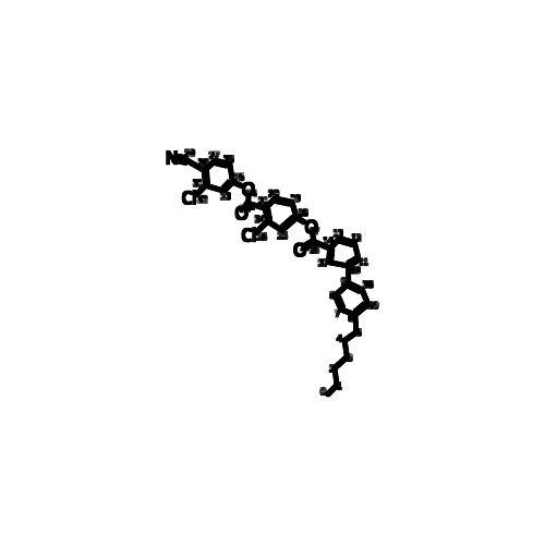 CCCCCCc1ccc(-c2cccc(C(=O)Oc3ccc(C(=O)Oc4ccc(C#N)c(Cl)c4)c(Cl)c3)c2)cc1